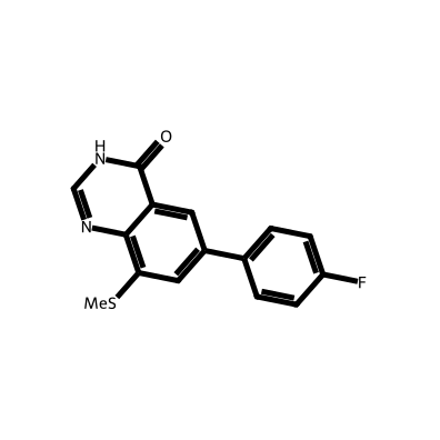 CSc1cc(-c2ccc(F)cc2)cc2c(=O)[nH]cnc12